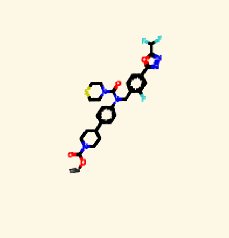 CC(C)(C)OC(=O)N1CCC(c2ccc(N(Cc3ccc(-c4nnc(C(F)F)o4)cc3F)C(=O)N3CCSCC3)cc2)CC1